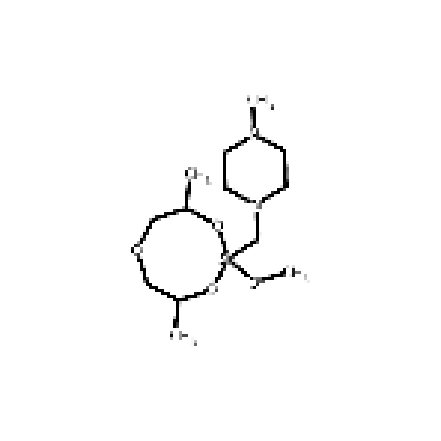 CO[Si]1(CN2CCN(C)CC2)OC(C)COCC(C)O1